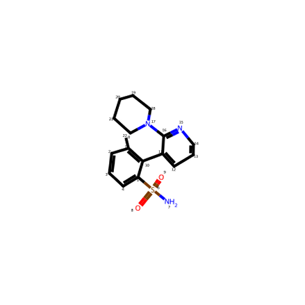 Cc1cccc(S(N)(=O)=O)c1-c1cccnc1N1CCCCC1